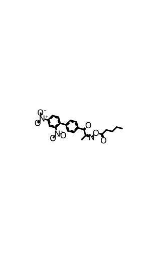 CCCCC(=O)O/N=C(/C)C(=O)c1ccc(-c2ccc([N+](=O)[O-])cc2[N+](=O)[O-])cc1